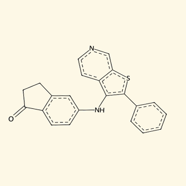 O=C1CCc2cc(Nc3c(-c4ccccc4)sc4cnccc34)ccc21